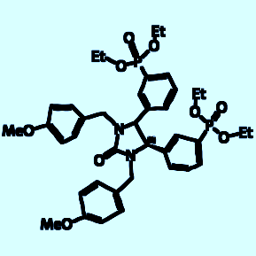 CCOP(=O)(OCC)c1cccc(C2[C@@H](c3cccc(P(=O)(OCC)OCC)c3)N(Cc3ccc(OC)cc3)C(=O)N2Cc2ccc(OC)cc2)c1